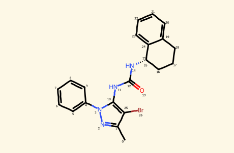 Cc1nn(-c2ccccc2)c(NC(=O)N[C@H]2CCCc3ccccc32)c1Br